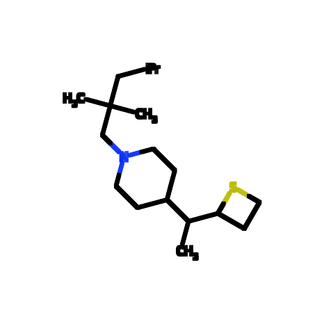 CC(C)CC(C)(C)CN1CCC(C(C)C2CCS2)CC1